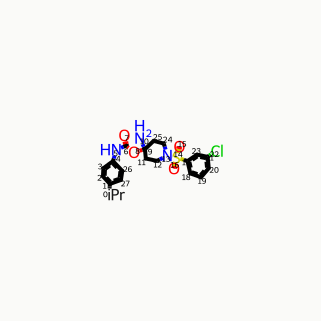 CC(C)c1ccc(NC(=O)OC2(N)CCN(S(=O)(=O)c3cccc(Cl)c3)CC2)cc1